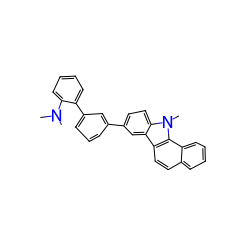 CN(C)c1ccccc1-c1cccc(-c2ccc3c(c2)c2ccc4ccccc4c2n3C)c1